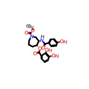 CC(C)(C)OC(=O)N1CCC[C@@H](OC(=O)c2cccc(O)c2O)[C@H](NC(=O)c2ccc(O)cc2)C1